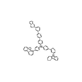 C1=Cc2c(c3ccccc3n2-c2cccc(-c3ccc(N(c4ccc(-c5ccc(-c6cccc(-c7ccc8ccccc8c7)c6)cc5)cc4)c4ccc(-c5cccc6c5oc5ccccc56)cc4)cc3)c2)CC1